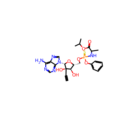 C#C[C@@]1(O)[C@H](O)[C@@H](COP(=S)(NC(C)C(=O)OC(C)C)Oc2ccccc2)O[C@H]1n1cnc2c(N)ncnc21